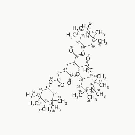 CC(=O)CC(CC(CC(=O)OC1CC(C)(C)C(C)C(C)(C)C1)C(=O)OC1CC(C)(C)N(C)C(C)(C)C1)C(=O)OC1CC(C)(C)N(C)C(C)(C)C1